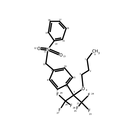 CCCCOC(c1ccc(CS(=O)(=O)c2ccccc2)cc1)(C(F)(F)F)C(F)(F)F